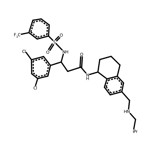 CC(C)CNCc1ccc2c(c1)CCCC2NC(=O)CC(NS(=O)(=O)c1cccc(C(F)(F)F)c1)c1cc(Cl)cc(Cl)c1